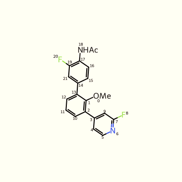 COc1c(-c2ccnc(F)c2)cccc1-c1ccc(NC(C)=O)c(F)c1